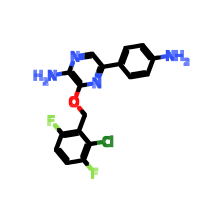 Nc1ccc(-c2cnc(N)c(OCc3c(F)ccc(F)c3Cl)n2)cc1